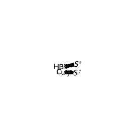 [S]=[BiH].[S]=[Cu]